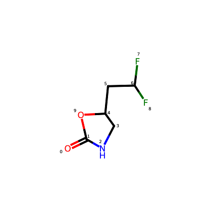 O=C1NCC(CC(F)F)O1